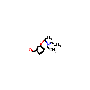 CCN(CC)C(C)Oc1cccc(C=O)c1